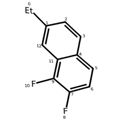 CCc1ccc2ccc(F)c(F)c2c1